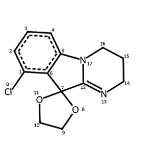 Clc1cccc2c1C1(OCCO1)C1=NCCCN12